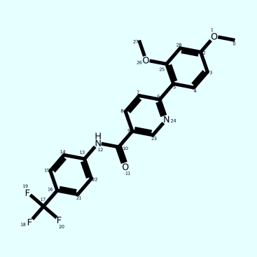 COc1ccc(-c2ccc(C(=O)Nc3ccc(C(F)(F)F)cc3)cn2)c(OC)c1